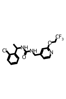 CC(NC(=O)NCc1ccnc(OCC(F)(F)F)c1)c1ccccc1Cl